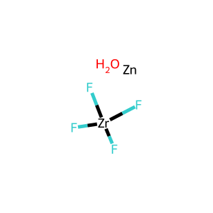 O.[F][Zr]([F])([F])[F].[Zn]